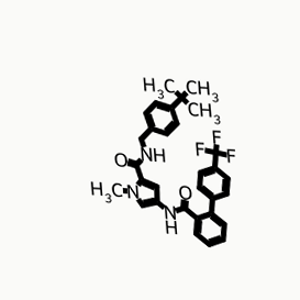 Cn1cc(NC(=O)c2ccccc2-c2ccc(C(F)(F)F)cc2)cc1C(=O)NCc1ccc(C(C)(C)C)cc1